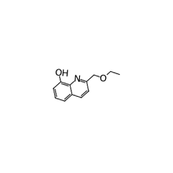 CCOCc1ccc2cccc(O)c2n1